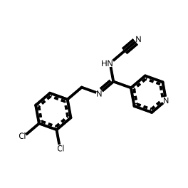 N#CN/C(=N\Cc1ccc(Cl)c(Cl)c1)c1ccncc1